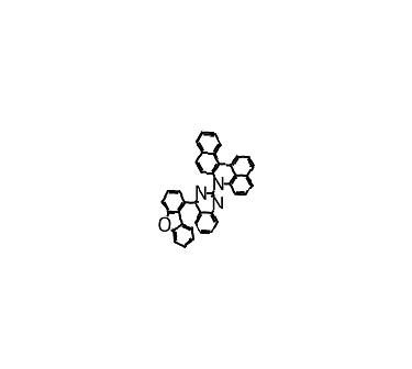 c1ccc2c3c(ccc2c1)N(c1nc(-c2cccc4oc5ccccc5c24)c2ccccc2n1)c1cccc2cccc-3c12